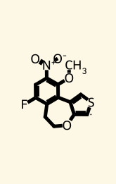 COc1c([N+](=O)[O-])cc(F)c2c1-c1cs[c]c1OCC2